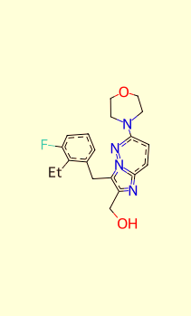 CCc1c(F)cccc1Cc1c(CO)nc2ccc(N3CCOCC3)nn12